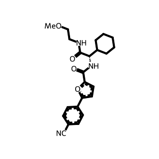 COCCNC(=O)[C@@H](NC(=O)c1ccc(-c2ccc(C#N)cc2)o1)C1CCCCC1